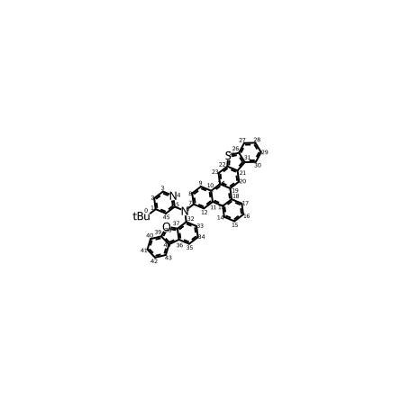 CC(C)(C)c1ccnc(N(c2ccc3c(c2)c2ccccc2c2cc4c(cc32)sc2ccccc24)c2cccc3c2oc2ccccc23)c1